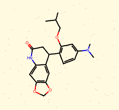 CC(C)COc1cc(N(C)C)ccc1C1CC(=O)Nc2cc3c(cc21)OCO3